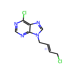 ClC/C=C/Cn1cnc2c(Cl)ncnc21